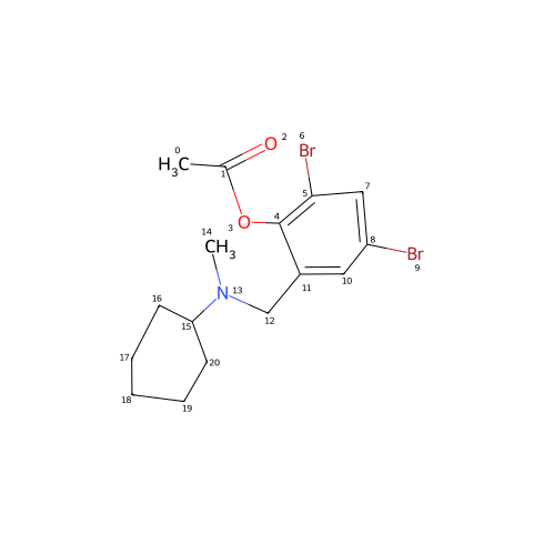 CC(=O)Oc1c(Br)cc(Br)cc1CN(C)C1CCCCC1